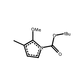 COc1c(C)ccn1C(=O)OC(C)(C)C